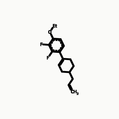 C=CCC1CC=C(c2ccc(OCC)c(F)c2F)CC1